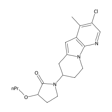 CCCOC1CCN(C2CCn3c(cc4c(C)c(Cl)cnc43)C2)C1=O